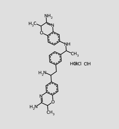 CC1Oc2ccc(NC(C)c3cccc(CC(N)c4ccc5c(c4)N=C(N)C(C)O5)c3)cc2N=C1N.Cl.Cl.Cl